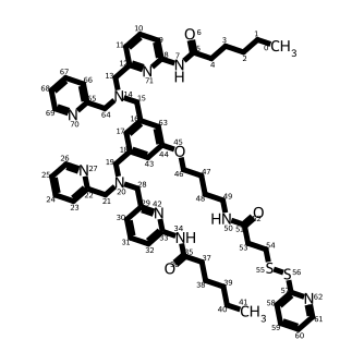 CCCCCC(=O)Nc1cccc(CN(Cc2cc(CN(Cc3ccccn3)Cc3cccc(NC(=O)CCCCC)n3)cc(OCCCCNC(=O)CCSSc3ccccn3)c2)Cc2ccccn2)n1